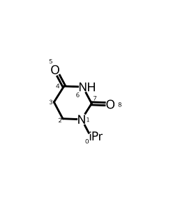 CC(C)N1CCC(=O)NC1=O